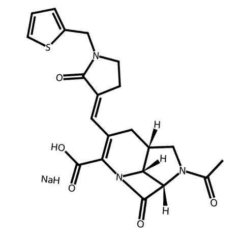 CC(=O)N1C[C@H]2CC(/C=C3\CCN(Cc4cccs4)C3=O)=C(C(=O)O)N3C(=O)[C@@H]1[C@@H]23.[NaH]